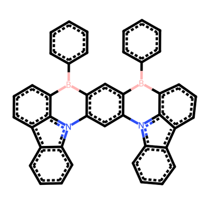 c1ccc(B2c3cc4c(cc3-n3c5ccccc5c5cccc2c53)-n2c3ccccc3c3cccc(c32)B4c2ccccc2)cc1